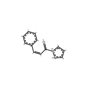 O=C(/C=C\c1ccccc1)n1cccn1